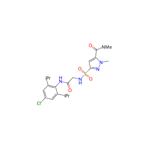 CNC(=O)c1cc(S(=O)(=O)NCC(=O)Nc2c(C(C)C)cc(Cl)cc2C(C)C)nn1C